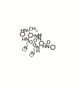 C=C(Nc1ccccc1)c1cc(NC(=O)CCN2CCCC2)cc(NC(=O)Nc2cc(NC(=O)CCN3CCCC3)cc(C(=O)Nc3ccccc3)c2)c1